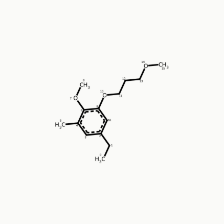 CCc1cc(C)c(OC)c(OCCCOC)c1